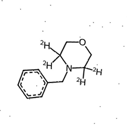 [2H]C1([2H])COCC([2H])([2H])N1Cc1ccccc1